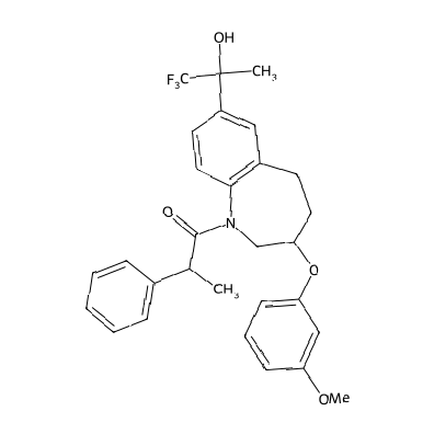 COc1cccc(OC2CCc3cc(C(C)(O)C(F)(F)F)ccc3N(C(=O)C(C)c3ccccc3)C2)c1